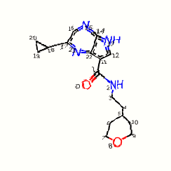 O=C(NCCC1CCOCC1)c1c[nH]c2ncc(C3CC3)nc12